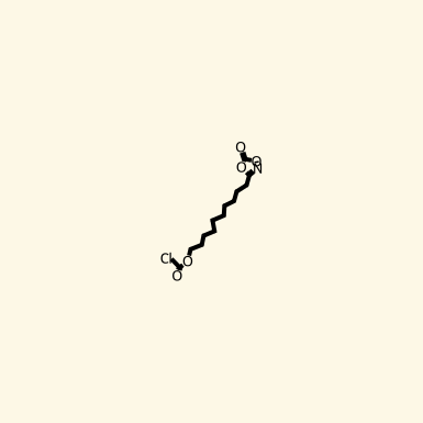 O=C(Cl)OCCCCCCCCCCc1noc(=O)o1